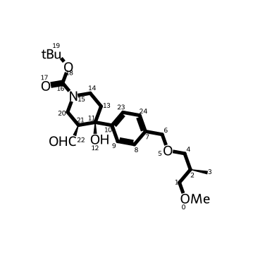 COC[C@H](C)COCc1ccc([C@@]2(O)CCN(C(=O)OC(C)(C)C)C[C@@H]2C=O)cc1